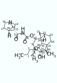 CCC[C@]1(C)C[C@@H](OC(=O)NC(=O)[C@H]2CN3CC[C@@H]2C3)[C@]23C[C@@H]2CCC2(CCC(=O)C23)[C@@H](C)[C@@H]1O